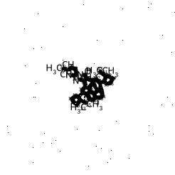 CC(C)(C)c1ccc2c(n1)nc1c3c4cc(-c5ccccc5C(C)(C)C)c5ccc6ccc7c(-c8ccccc8C(C)(C)C)cc(c3c(=O)n21)c1c7c6c5c41